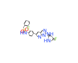 O=S(=O)(Cc1ccccc1)Nc1ccc(-c2cnc3nc(N[C@@H]4CNC[C@@H](F)C4)ncc3c2)cc1F